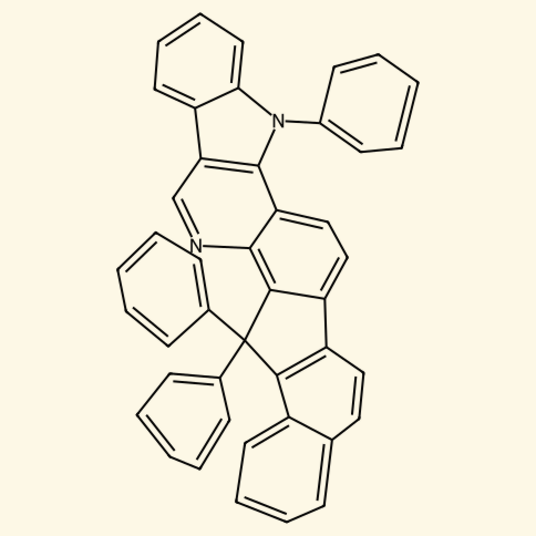 c1ccc(-n2c3ccccc3c3cnc4c5c(ccc4c32)-c2ccc3ccccc3c2C5(c2ccccc2)c2ccccc2)cc1